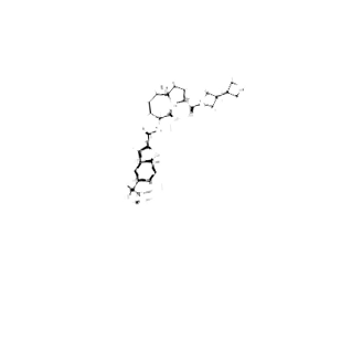 O=C(N[C@H]1CCC[C@H]2CC[C@@H](C(=O)N3CC(C4COC4)C3)N2C1=O)c1cc2cc(C(F)(F)P(=O)(O)O)ccc2s1